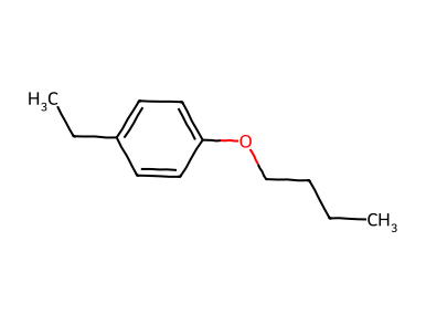 CCCCOc1ccc(CC)cc1